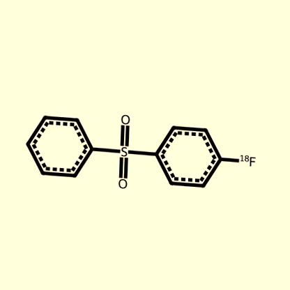 O=S(=O)(c1ccccc1)c1ccc([18F])cc1